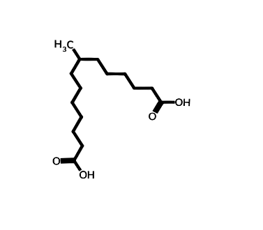 CC(CCCCCCC(=O)O)CCCCCC(=O)O